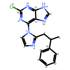 CC(Cc1nccn1-c1nc(Cl)nc2[nH]cnc12)c1ccccc1